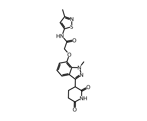 Cc1cc(NC(=O)COc2cccc3c(C4CCC(=O)NC4=O)nn(C)c23)sn1